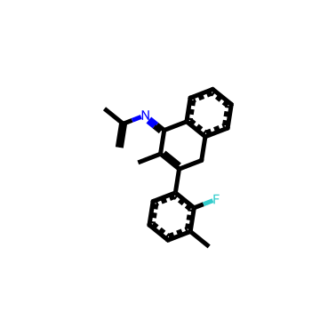 C=C(C)/N=C1\C(C)=C(c2cccc(C)c2F)Cc2ccccc21